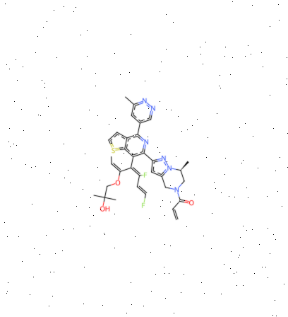 C=CC(=O)N1Cc2cc(-c3nc(-c4cnnc(C)c4)c4ccsc4c3C(/C(=C\C)OCC(C)(C)O)=C(F)/C=C/F)nn2[C@@H](C)C1